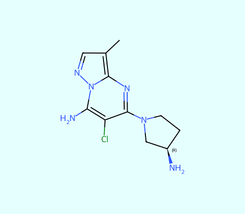 Cc1cnn2c(N)c(Cl)c(N3CC[C@@H](N)C3)nc12